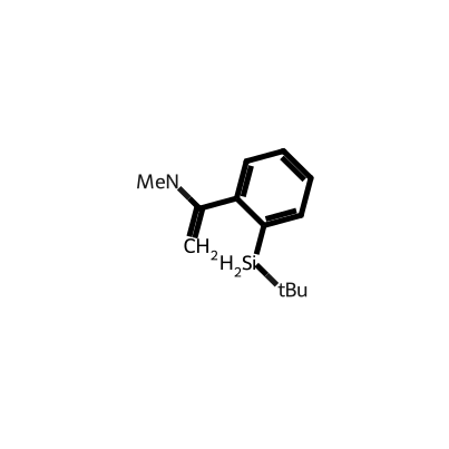 C=C(NC)c1ccccc1[SiH2]C(C)(C)C